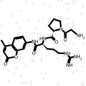 Cc1cc(=O)oc2cc(NC(=O)[C@H](CCCNC(=N)N)NC(=O)[C@@H]3CCCN3C(=O)CN)ccc12